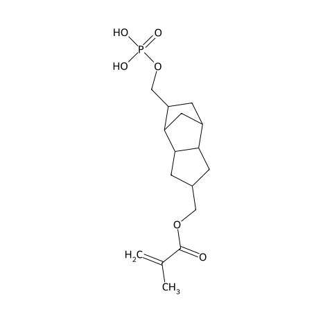 C=C(C)C(=O)OCC1CC2C3CC(COP(=O)(O)O)C(C3)C2C1